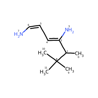 CC(/C(N)=C/C=C\N)C(C)(C)C